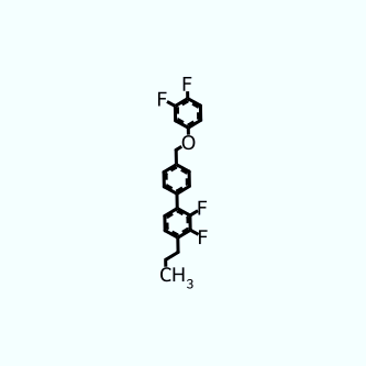 CCCc1ccc(-c2ccc(COc3ccc(F)c(F)c3)cc2)c(F)c1F